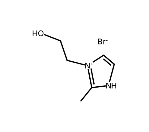 Cc1[nH]cc[n+]1CCO.[Br-]